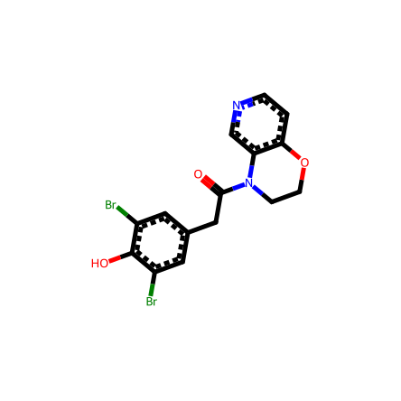 O=C(Cc1cc(Br)c(O)c(Br)c1)N1CCOc2ccncc21